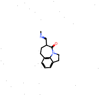 C/N=C/C1CCc2cccc3c2N(CC3)C1=O